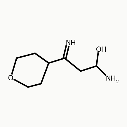 N=C(CC(N)O)C1CCOCC1